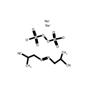 CC(C#N)CN=NCC(C)C#N.O=S(=O)([O-])OOS(=O)(=O)[O-].[Na+].[Na+]